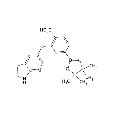 CC1(C)OB(c2ccc(C(=O)O)c(Oc3cnc4[nH]ccc4c3)c2)OC1(C)C